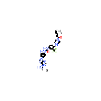 CCCCC(=O)N1CCN(Cc2ccc(NC(=O)Nc3ccc(-n4cnc5c(NC)ncnc54)cc3)cc2C(F)(F)F)CC1